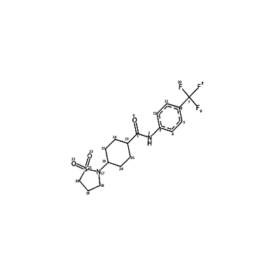 O=C(Nc1ccc(C(F)(F)F)cc1)C1CCC(N2CCCS2(=O)=O)CC1